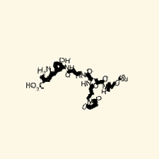 C[C@@H](C[C@@H](N)Cc1ccc(O)c(NC(=O)CCCNC(=O)[C@H](CCC(=O)NC(C)(C)CCOC(C)(C)C)NC(=O)CCCN2C(=O)C=CC2=O)c1)C(=O)O